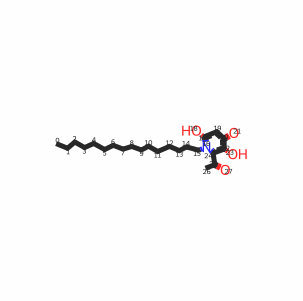 CCCCCCCCCCCCCCCCn1c(O)cc(=O)c(O)c1C(C)=O